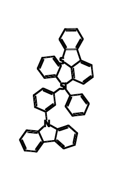 c1ccc([Si](c2ccccc2)(c2cccc(-n3c4ccccc4c4ccccc43)c2)c2cccc3c2sc2ccccc23)cc1